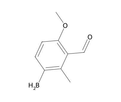 Bc1ccc(OC)c(C=O)c1C